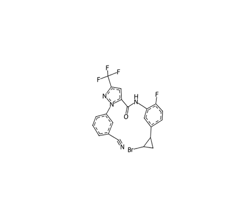 N#Cc1cccc(-n2nc(C(F)(F)F)cc2C(=O)Nc2cc(C3CC3Br)ccc2F)c1